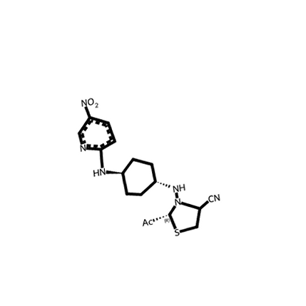 CC(=O)[C@H]1SCC(C#N)N1N[C@H]1CC[C@H](Nc2ccc([N+](=O)[O-])cn2)CC1